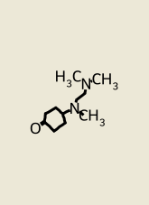 CN(C)CCN(C)C1CCC(=O)CC1